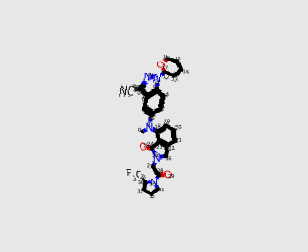 CN(c1ccc2c(c1)c(C#N)nn2C1CCCCO1)c1cccc2c1C(=O)N(CC(=O)N1CCC[C@H]1C(F)(F)F)C2